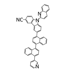 N#Cc1ccc2c(c1)c1cc(-c3ccc(-c4ccc(-c5cccnc5)c5ccccc45)c4ccccc34)ccc1n2-c1ccc2ccccc2n1